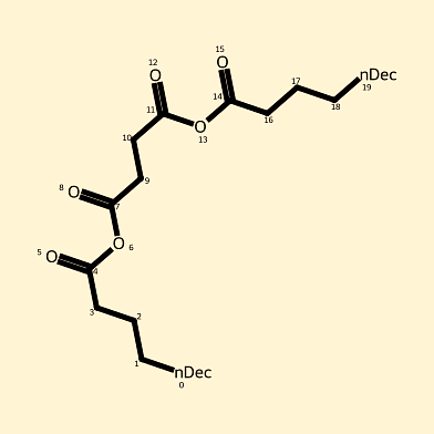 CCCCCCCCCCCCCC(=O)OC(=O)CCC(=O)OC(=O)CCCCCCCCCCCCC